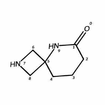 O=C1CCCC2(CNC2)N1